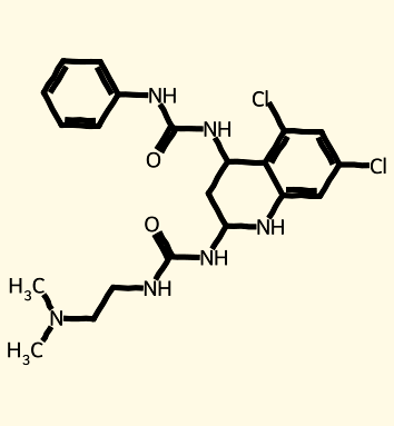 CN(C)CCNC(=O)NC1CC(NC(=O)Nc2ccccc2)c2c(Cl)cc(Cl)cc2N1